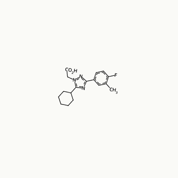 Cc1cc(-c2nc(C3CCCCC3)n(CC(=O)O)n2)ccc1F